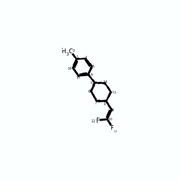 Cc1ccc(C2CCC(C=C(F)F)CC2)cc1